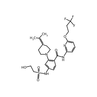 CC(C)=C1CCN(c2cc(NS(=O)(=O)CCO)ccc2C(=O)Nc2cccc(OCCC(F)(F)F)n2)CC1